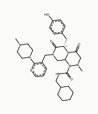 CN1CCN(c2ncccc2CN2CC3N(C(=O)CN(C)N3C(=O)NCC3CCCCC3)[C@@H](Cc3ccc(O)cc3)C2=O)CC1